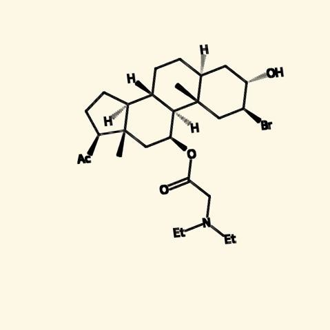 CCN(CC)CC(=O)O[C@H]1C[C@]2(C)[C@@H](C(C)=O)CC[C@H]2[C@@H]2CC[C@H]3C[C@H](O)[C@@H](Br)C[C@]3(C)[C@H]21